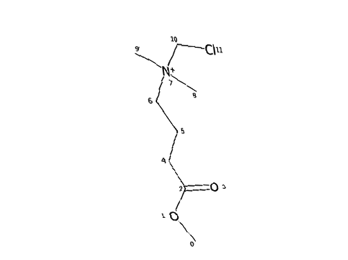 COC(=O)CCC[N+](C)(C)CCl